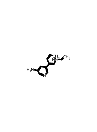 C=CN/C=C(\C=C/C)c1cncc(N)c1